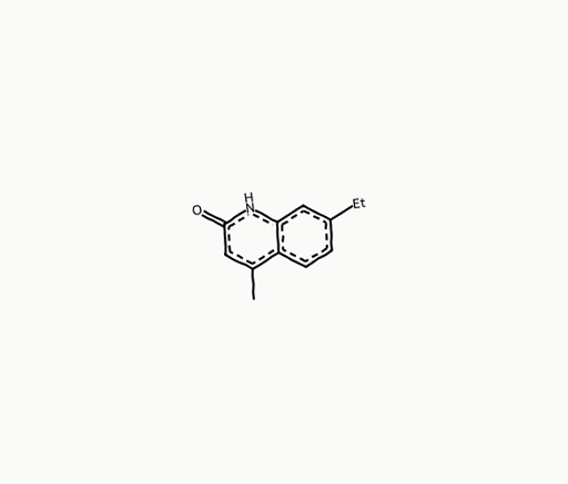 CCc1ccc2c(C)cc(=O)[nH]c2c1